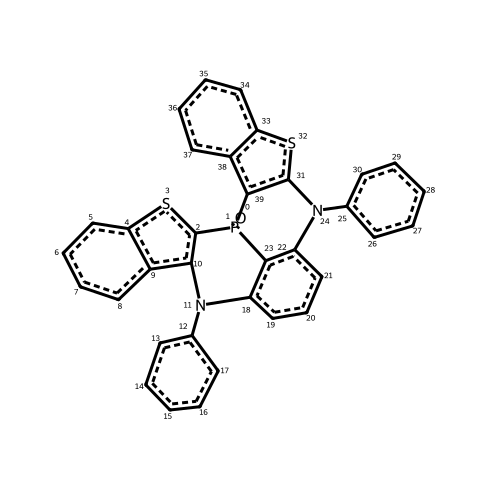 O=P12c3sc4ccccc4c3N(c3ccccc3)c3cccc(c31)N(c1ccccc1)c1sc3ccccc3c12